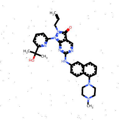 C=CCn1c(=O)c2cnc(Nc3ccc4c(N5CCN(C)CC5)cccc4c3)nc2n1-c1cccc(C(C)(C)O)n1